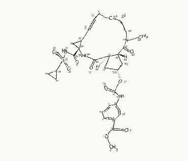 COC(=O)c1cccc(NC(=O)O[C@@H]2C[C@H]3C(=O)N[C@]4(C(=O)NS(=O)(=O)C5CC5)CC4/C=C\CCCCN(C)C(=O)[C@@H]3C2)c1